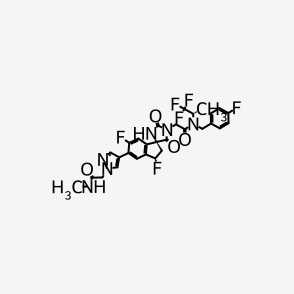 CNC(=O)Cn1cc(-c2cc3c(cc2F)[C@]2(C[C@H]3F)NC(=O)N(CC(=O)N(Cc3ccc(F)cc3)[C@@H](C)C(F)(F)F)C2=O)cn1